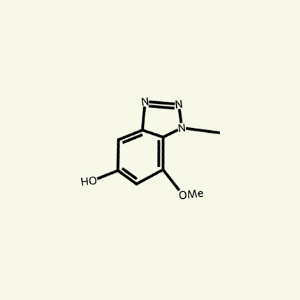 COc1cc(O)cc2nnn(C)c12